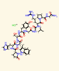 CC(C)C[C@H](NC(=O)CNC(=O)[C@H](Cc1ccc(O)cc1)NC(=O)[C@H](CO)NC(=O)[C@H](Cc1c[nH]c2ccccc12)NC(=O)[C@H](Cc1cnc[nH]1)NC(=O)[C@@H]1CCC(=O)N1)C(=O)N[C@@H](CCCNC(=N)N)C(=O)N1CCC[C@H]1C(=O)NCC(N)=O.Cl